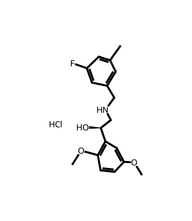 COc1ccc(OC)c([C@@H](O)CNCc2cc(C)cc(F)c2)c1.Cl